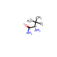 CCC(C)(C)[C@H](N)C(N)=O